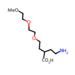 COCCOCCOCCC(CCN)C(=O)O